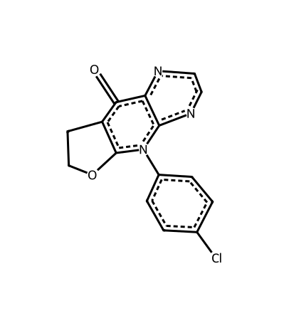 O=c1c2c(n(-c3ccc(Cl)cc3)c3nccnc13)OCC2